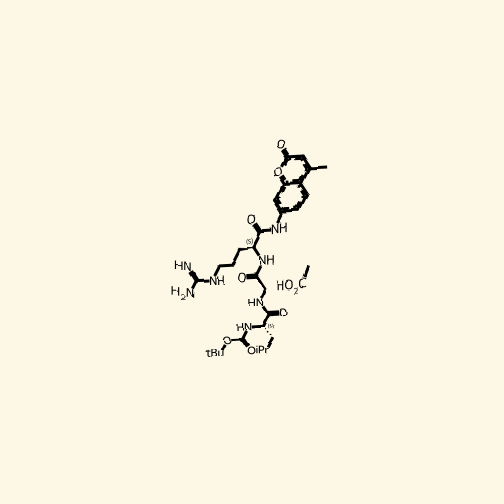 CC(=O)O.Cc1cc(=O)oc2cc(NC(=O)[C@H](CCCNC(=N)N)NC(=O)CNC(=O)[C@H](CC(C)C)NC(=O)OC(C)(C)C)ccc12